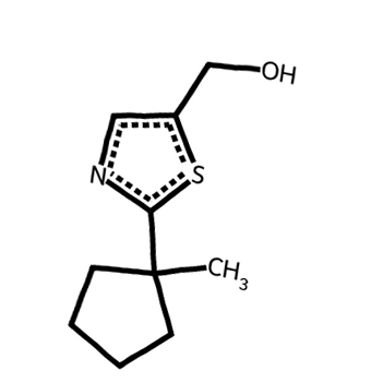 CC1(c2ncc(CO)s2)CCCC1